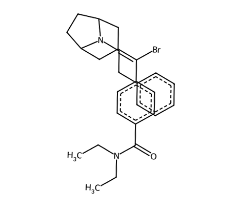 CCN(CC)C(=O)c1ccc(C(Br)=C2CC3CCC(C2)N3CCc2ccccc2)cc1